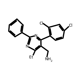 CCc1nc(-c2ccccc2)nc(-c2ccc(Cl)cc2Cl)c1CN